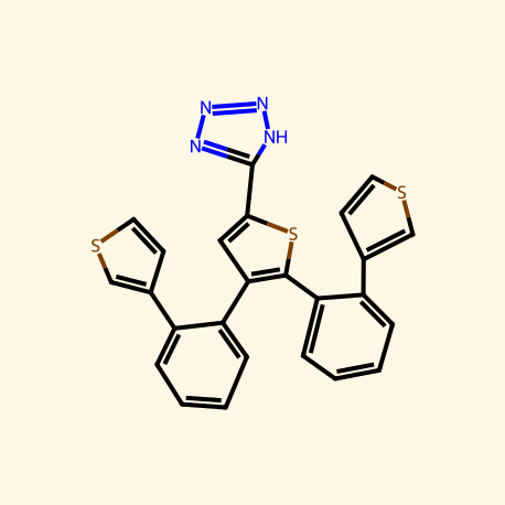 c1ccc(-c2cc(-c3nnn[nH]3)sc2-c2ccccc2-c2ccsc2)c(-c2ccsc2)c1